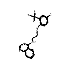 FC(F)(F)c1cc(Cl)ccc1OCCNc1ncnc2ccccc12